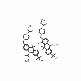 CC(C)(C)OC(=O)N1CCN(Cc2ccc3c(c2)C(C)(C)c2ccc(C(C)(C)O)cc2N3C(=O)OC(C)(C)C)CC1.CC(C)(C)OC(=O)N1CCN(Cc2ccc3c(c2C(C)(C)C)C(C)(C)c2ccc(C(C)(C)O)cc2N3C(=O)O)CC1